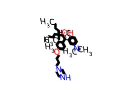 CCCCC(CC)(CCCC)[C@H](O)[C@H](C1=CC=C(OCCCCN2C=CNCC2)CC1)c1cc(N(C)C)ccc1C